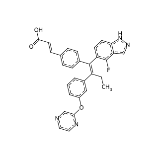 CCC(=C(c1ccc(C=CC(=O)O)cc1)c1ccc2[nH]ncc2c1F)c1cccc(Oc2cnccn2)c1